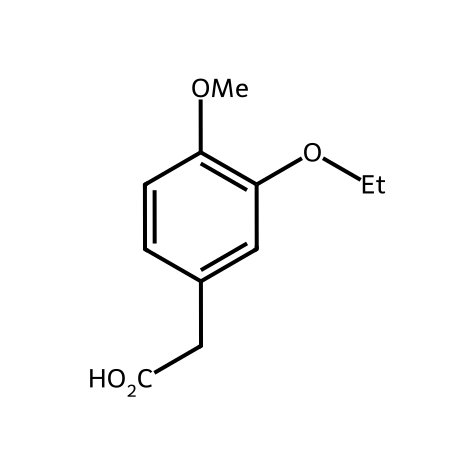 CCOc1cc(CC(=O)O)ccc1OC